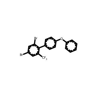 FC(F)(F)c1cc(Br)cc(Br)c1-c1ccc(Oc2ccccc2)cc1